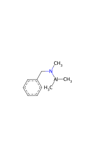 C[N](Cc1ccccc1)[Al]([CH3])[CH3]